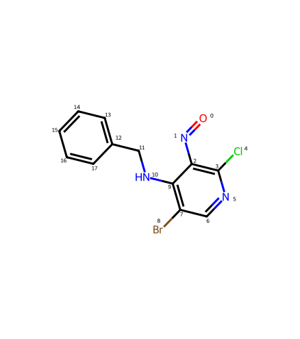 O=Nc1c(Cl)ncc(Br)c1NCc1ccccc1